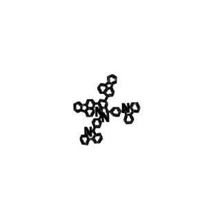 c1ccc2c(c1)-c1cccc3c(-c4cc(-c5ccc6c7c(cccc57)-c5ccccc5-6)c5nc(-c6ccc(-c7nc8ccccc8c8ccccc78)cc6)nc(-c6ccc(-c7nc8ccccc8c8ccccc78)cc6)c5c4)ccc-2c13